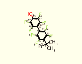 CC(C)C(C)(C)c1c(F)c(F)c(-c2c(F)c(F)c(O)c(F)c2F)c(F)c1F